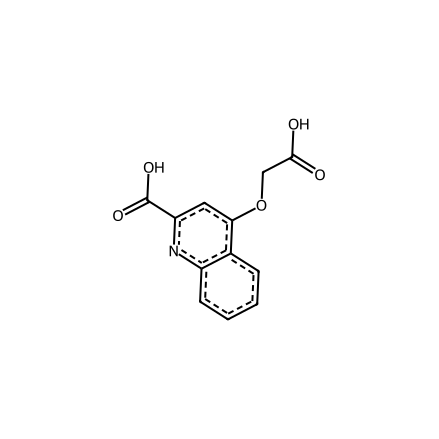 O=C(O)COc1cc(C(=O)O)nc2ccccc12